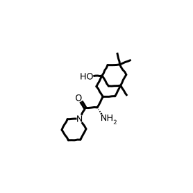 CC1(C)CC2(C)CC([C@H](N)C(=O)N3CCCCC3)CC(O)(C1)C2